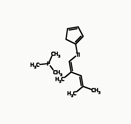 CC(C)=CC(C)=[CH][Ti][C]1=CC=CC1.CP(C)C